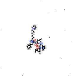 CC(C)C[C@H](NC(=O)[C@H](CCc1ccccc1)NC(=O)CCCCCCCN1CCCCC1)C(=O)N[C@@H](Cc1ccccc1)C(=O)N[C@@H](CC(C)C)C(=O)C1(C)CC1